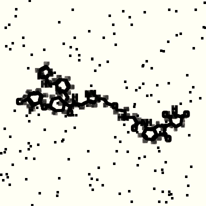 O=C1CCC(N2Cc3c(NC(=O)CNCCOCCn4cc(CNC(=O)[C@]5(Cc6cccc(Nc7nccs7)n6)CC[C@@H](Oc6cccc(Cl)c6F)CC5)nn4)cccc3C2=O)C(=O)N1